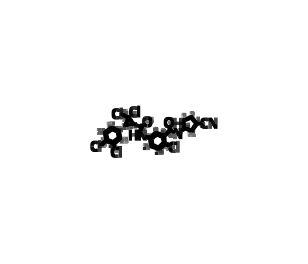 N#CC1CCC(NC(=O)c2cc(NC(=O)[C@H]3[C@H](c4ccc(Cl)c(Cl)c4)C3(Cl)Cl)ccc2Cl)C1